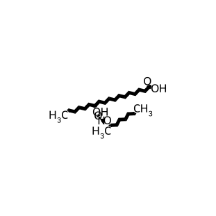 CCCCCCC(C)ON=O.CCCCCCC(O)CCCCCCCCCCC(=O)O